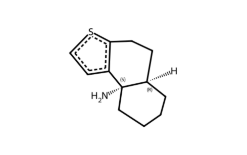 N[C@@]12CCCC[C@@H]1CCc1sccc12